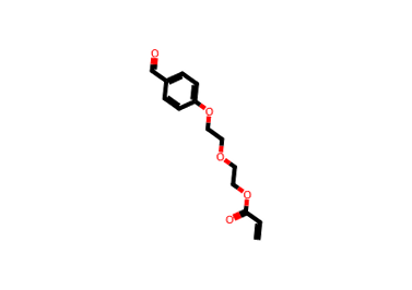 C=CC(=O)OCCOCCOc1ccc(C=O)cc1